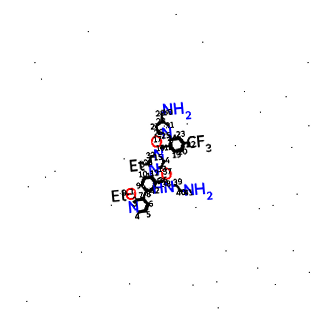 CCOc1ncccc1-c1ccc(N2CCN(C(=O)c3ccc(C(F)(F)F)cc3N3CCC(CN)C3)C[C@H]2CC)c(C(=O)NCCN)c1